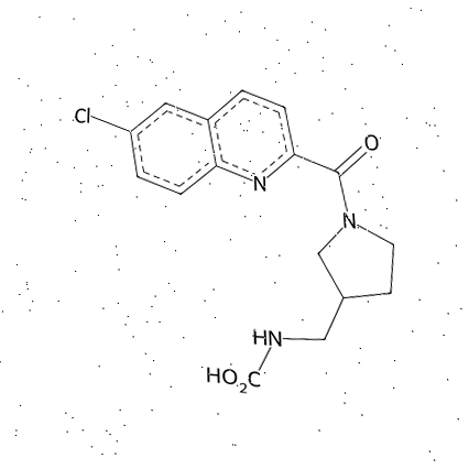 O=C(O)NCC1CCN(C(=O)c2ccc3cc(Cl)ccc3n2)C1